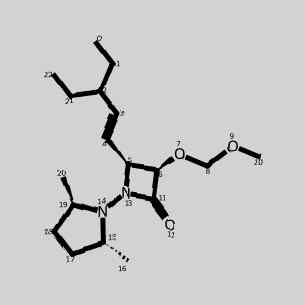 CCC(/C=C/[C@H]1[C@@H](OCOC)C(=O)N1N1[C@H](C)CC[C@H]1C)CC